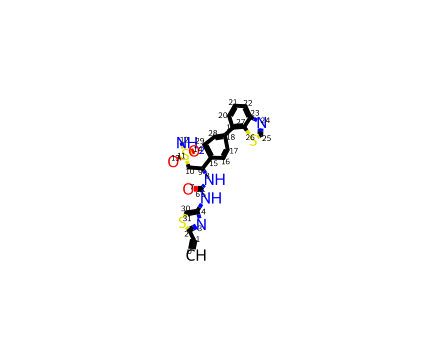 C#Cc1nc(NC(=O)NC(CS(N)(=O)=O)c2ccc(-c3cccc4ncsc34)cc2)cs1